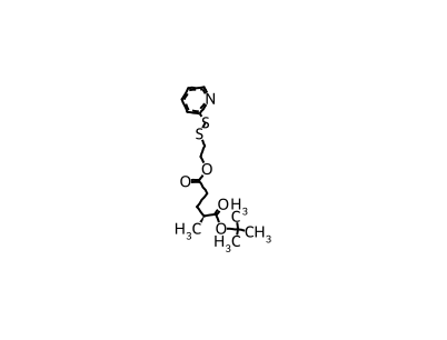 C[C@@H](CCC(=O)OCCSSc1ccccn1)C(=O)OC(C)(C)C